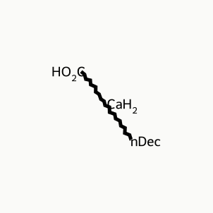 CCCCCCCCCCCCCCCCCCCCCCCCCCCCCCC(=O)O.[CaH2]